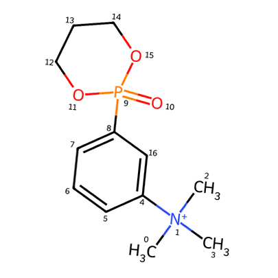 C[N+](C)(C)c1cccc(P2(=O)OCCCO2)c1